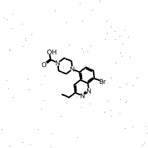 CCc1cc2c(N3CCN(C(=O)O)CC3)ccc(Br)c2nn1